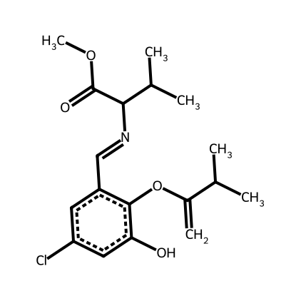 C=C(Oc1c(O)cc(Cl)cc1C=NC(C(=O)OC)C(C)C)C(C)C